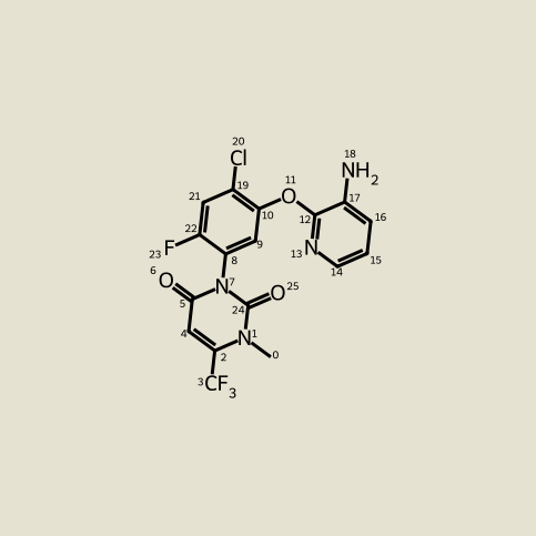 Cn1c(C(F)(F)F)cc(=O)n(-c2cc(Oc3ncccc3N)c(Cl)cc2F)c1=O